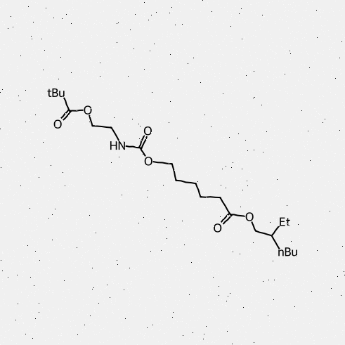 CCCCC(CC)COC(=O)CCCCCOC(=O)NCCOC(=O)C(C)(C)C